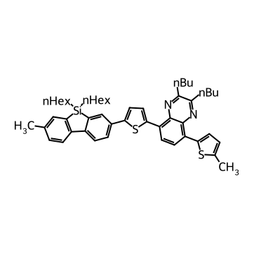 CCCCCC[Si]1(CCCCCC)c2cc(C)ccc2-c2ccc(-c3ccc(-c4ccc(-c5ccc(C)s5)c5nc(CCCC)c(CCCC)nc45)s3)cc21